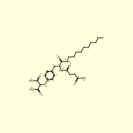 CCCCCCCCCCNC(=O)[C@H](Cc1ccc(OC(C(=O)O)C(=O)O)cc1)NC(=O)CCC(=O)O